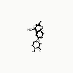 Cc1nc(O)c2cc(N3CCN(C)C(C)C3)ncc2n1